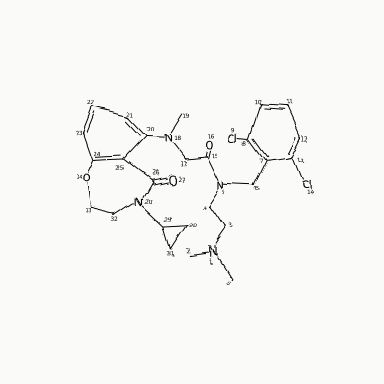 CN(C)CCN(Cc1c(Cl)cccc1Cl)C(=O)CN(C)c1cccc2c1C(=O)N(C1CC1)CCO2